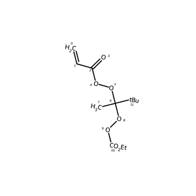 C=CC(=O)OOC(C)(OOC(=O)OCC)C(C)(C)C